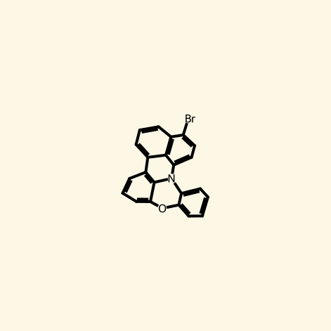 Brc1ccc2c3c1cccc3c1cccc3oc4ccccc4n2-c31